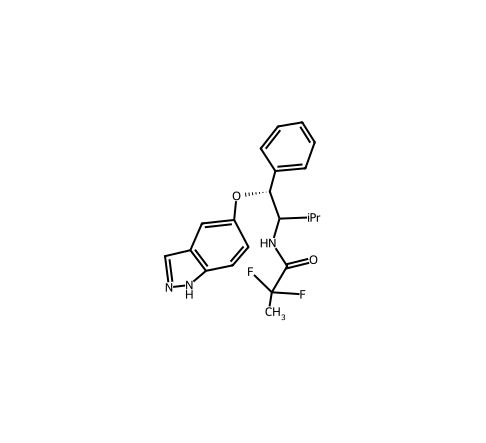 CC(C)C(NC(=O)C(C)(F)F)[C@H](Oc1ccc2[nH]ncc2c1)c1ccccc1